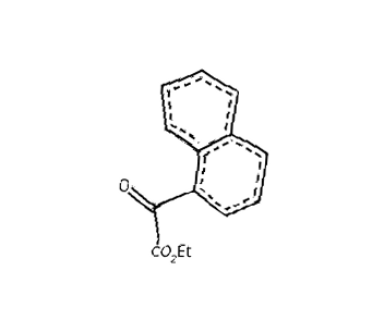 CCOC(=O)C(=O)c1cccc2ccccc12